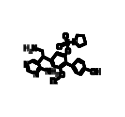 CCOc1cc(C(CN)c2cncnc2N)cc(OS(=O)(=O)N2CCCC2)c1-c1ccc(O)cc1